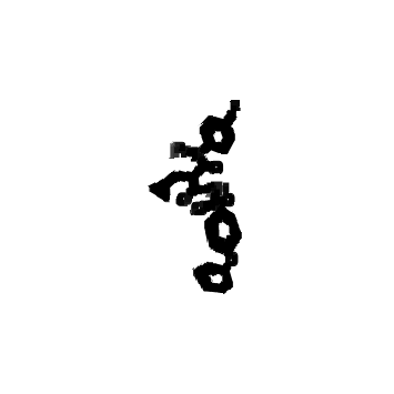 CC(C)N(C(=O)C(CC1CC1)C(=O)NS(=O)(=O)c1ccc(Oc2ccccc2)cc1)c1ccc(F)cc1